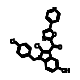 O=C(c1ncc(-c2ccncc2)o1)c1c(Cl)n(Cc2ccc(Cl)cc2)c2ccc(O)cc12